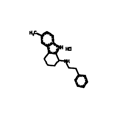 Cc1ccc2[nH]c3c(c2c1)CCCC3NCCc1ccccc1.Cl